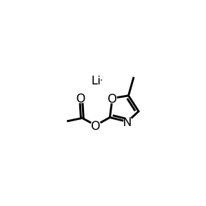 CC(=O)Oc1ncc(C)o1.[Li]